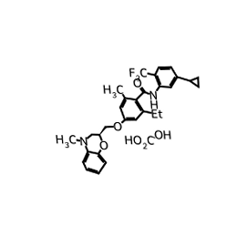 CCc1cc(OC[C@@H]2CN(C)c3ccccc3O2)cc(C)c1C(=O)Nc1cc(C2CC2)ccc1C(F)(F)F.O=C(O)O